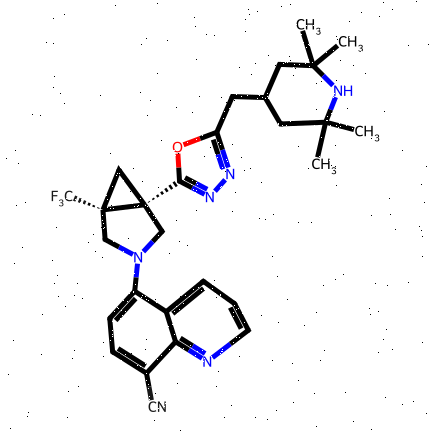 CC1(C)CC(Cc2nnc([C@]34CN(c5ccc(C#N)c6ncccc56)C[C@@]3(C(F)(F)F)C4)o2)CC(C)(C)N1